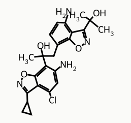 CC(C)(O)c1noc2c(CC(C)(O)c3c(N)cc(Cl)c4c(C5CC5)noc34)ccc(N)c12